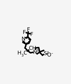 CC(C)(Cc1ccc(C(F)(F)F)nc1)CN1CCC2(C1)C[S+]([O-])C2